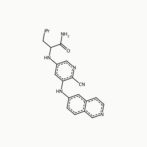 CC(C)CC(Nc1cnc(C#N)c(Nc2ccc3cnccc3c2)c1)C(N)=O